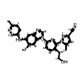 Cc1ccc(Nc2cc3ncn(-c4ccc(CCO)c(-n5nc(C#N)cc5C)n4)c3cc2F)nn1